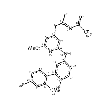 COc1cc(CS(C)=NC(=O)C(F)(F)F)cc(Nc2cc(-c3ccc(F)cc3OC)c(F)cn2)n1